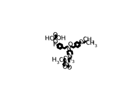 CC(C)COc1ccc(CC(=O)N(CCc2ccc(F)cc2)C2CCN(CCCN3C(=O)OCC3C(C)C)CC2)cc1.O=C(O)C(=O)O